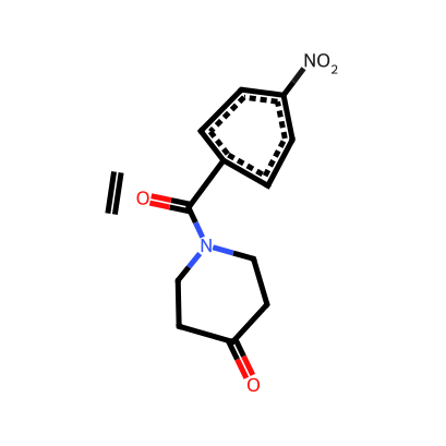 C=C.O=C1CCN(C(=O)c2ccc([N+](=O)[O-])cc2)CC1